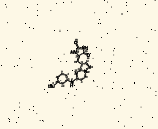 CC(C)(C)c1cccc(Nc2ccn3ncc(C=C4NC(=O)NC4=O)c3n2)c1